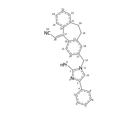 CCCc1nc(-c2ccccc2)cn1Cc1ccc2c(c1)CCc1ccccc1/C2=C\C#N